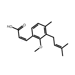 COc1c(/C=C\C(=O)O)ccc(C)c1CC=C(C)C